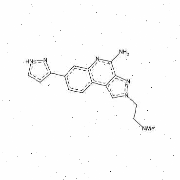 CNCCn1cc2c(n1)c(N)nc1cc(-c3cc[nH]n3)ccc12